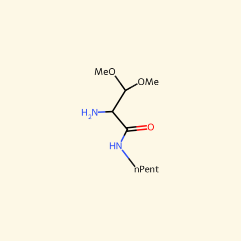 CCCCCNC(=O)C(N)C(OC)OC